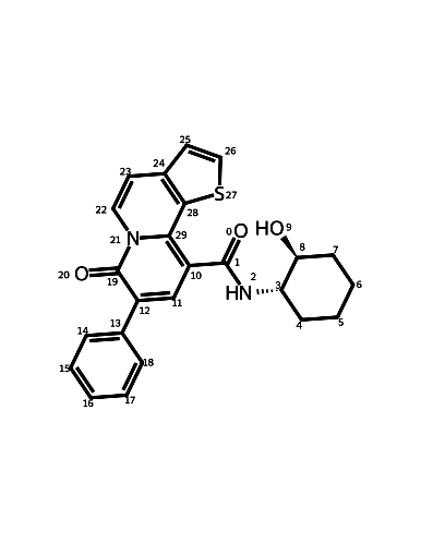 O=C(N[C@H]1CCCC[C@@H]1O)c1cc(-c2ccccc2)c(=O)n2ccc3ccsc3c12